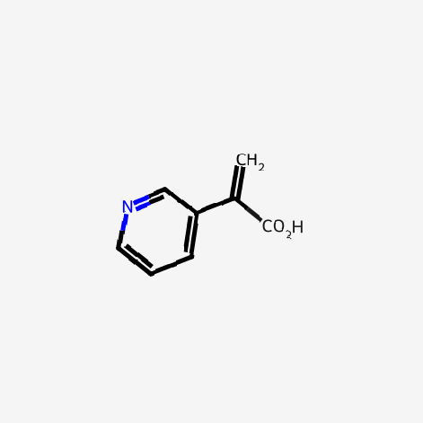 C=C(C(=O)O)c1cccnc1